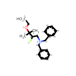 CC(C)(OCC(=O)O)C(F)CN(Cc1ccccc1)Cc1ccccc1